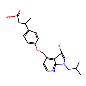 CC(C)Cn1cc(F)c2c(COc3ccc(C(C)CC(=O)O)cc3)ccnc21